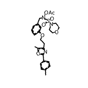 CC(=O)ON(Cc1cccc(OCCc2nc(-c3ccc(C)cc3)oc2C)c1)S(=O)(=O)N1CCOCC1